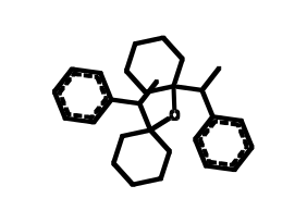 CC(c1ccccc1)C1(OC2(C(C)c3ccccc3)CCCCC2)CCCCC1